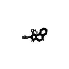 CCCCc1nc2cnc3ccccc3c2n1C